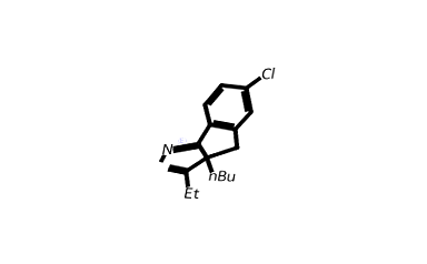 C=C(CC)C1(CCCC)Cc2cc(Cl)ccc2/C1=N/C